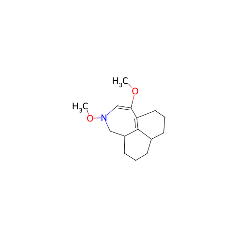 COC1=CN(OC)CC2CCCC3CCCC1=C32